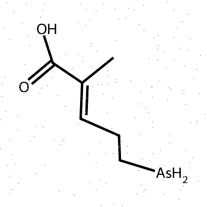 C/C(=C\CC[AsH2])C(=O)O